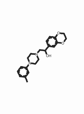 Cc1cccc(N2CCN(CC(O)c3ccc4c(c3)OCCO4)CC2)c1